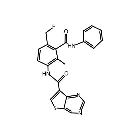 Cc1c(NC(=O)c2csc3cncnc23)ccc(CF)c1C(=O)Nc1ccccc1